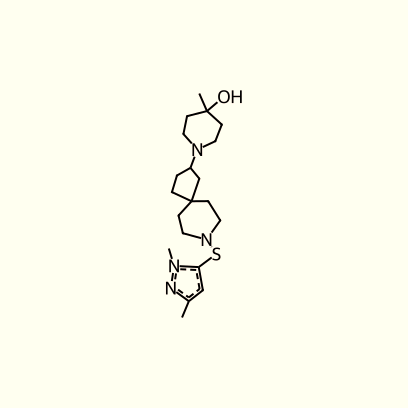 Cc1cc(SN2CCC3(CCC(N4CCC(C)(O)CC4)C3)CC2)n(C)n1